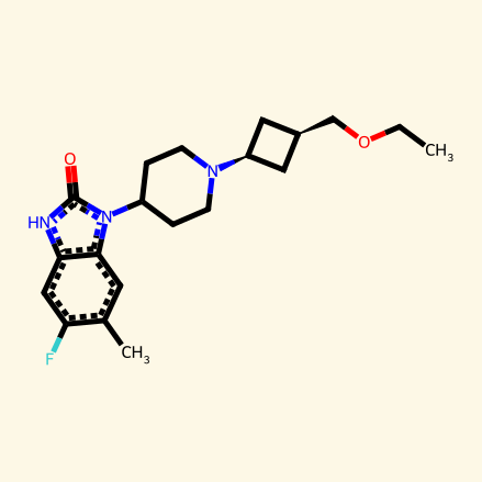 CCOC[C@H]1C[C@@H](N2CCC(n3c(=O)[nH]c4cc(F)c(C)cc43)CC2)C1